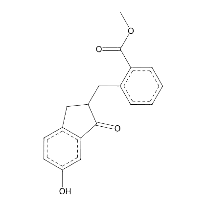 COC(=O)c1ccccc1CC1Cc2ccc(O)cc2C1=O